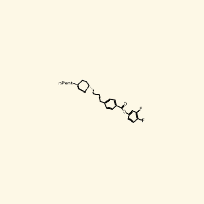 CCCCC[C@H]1CC[C@H](CCCCc2ccc(C(=O)Oc3ccc(F)c(F)c3)cc2)CC1